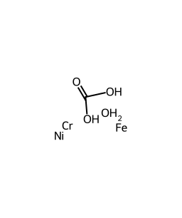 O.O=C(O)O.[Cr].[Fe].[Ni]